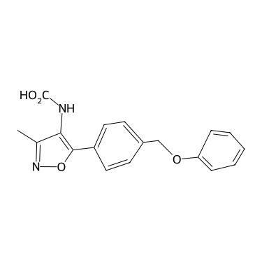 Cc1noc(-c2ccc(COc3ccccc3)cc2)c1NC(=O)O